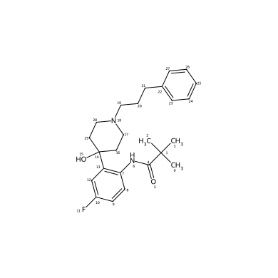 CC(C)(C)C(=O)Nc1ccc(F)cc1C1(O)CCN(CCCc2ccccc2)CC1